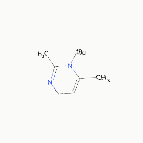 CC1=CCN=C(C)N1C(C)(C)C